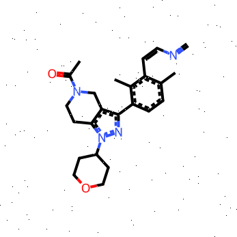 C=N/C=C\c1c(C)ccc(-c2nn(C3CCOCC3)c3c2CN(C(C)=O)CC3)c1C